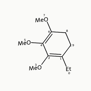 CCC1=C(OC)C(OC)=C(OC)C[CH]1